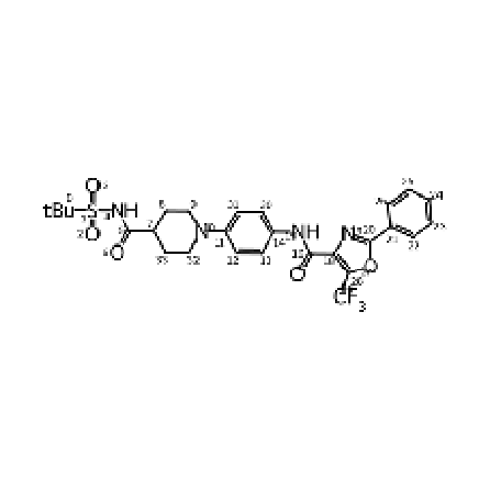 CC(C)(C)S(=O)(=O)NC(=O)C1CCN(c2ccc(NC(=O)c3nc(-c4ccccc4)oc3C(F)(F)F)cc2)CC1